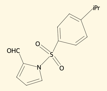 CC(C)c1ccc(S(=O)(=O)n2cccc2C=O)cc1